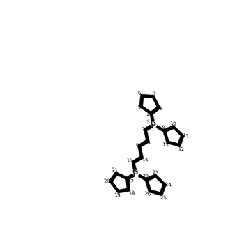 C(CCP(C1CCCC1)C1CCCC1)CCP(C1CCCC1)C1CCCC1